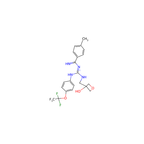 Cc1ccc(C(=N)/N=C(/NCC2(O)COC2)Nc2ccc(OC(F)(F)C(F)(F)F)cc2)cc1